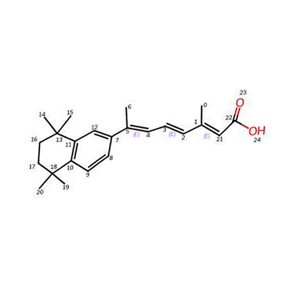 CC(/C=C/C=C(\C)c1ccc2c(c1)C(C)(C)CCC2(C)C)=C\C(=O)O